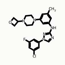 Cc1cc(Nc2ncn(-c3cc(F)cc(Cl)c3)n2)cc(N2CCN(C3COC3)CC2)c1